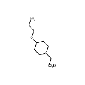 CCOC(=O)CN1CCC(OCCN)CC1